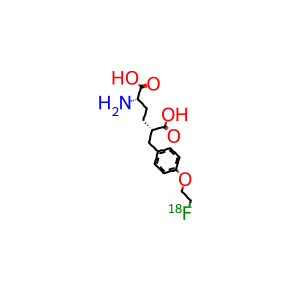 N[C@@H](CC[C@@H](Cc1ccc(OCC[18F])cc1)C(=O)O)C(=O)O